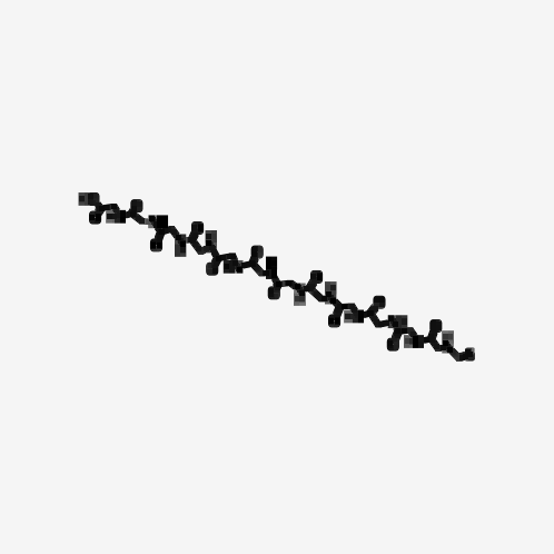 O=C(O)CNC(=O)CNC(=O)CNC(=O)CNC(=O)CNC(=O)CNC(=O)CNC(=O)CNC(=O)CNC(=O)CNC(=O)CNC(=O)CNC=S